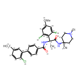 CCN1CCC(C#N)(NC(=O)[C@@](C)(NC(=O)c2ccc(-c3cc(C(=O)O)ccc3Cl)cc2)c2c(F)cc(OC)cc2F)CC1